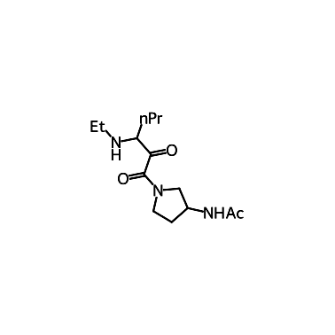 CCCC(NCC)C(=O)C(=O)N1CCC(NC(C)=O)C1